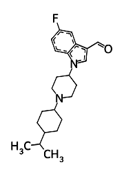 CC(C)C1CCC(N2CCC(n3cc(C=O)c4cc(F)ccc43)CC2)CC1